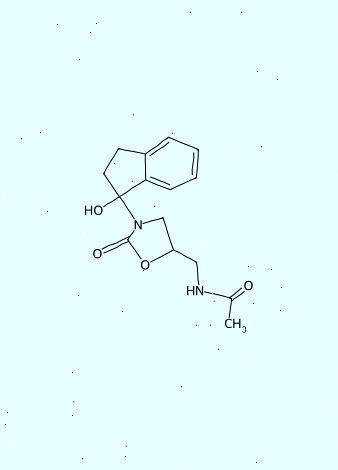 CC(=O)NCC1CN(C2(O)CCc3ccccc32)C(=O)O1